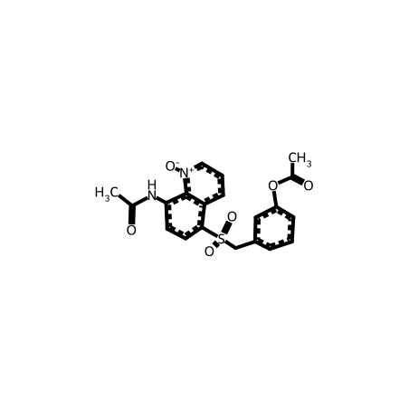 CC(=O)Nc1ccc(S(=O)(=O)Cc2cccc(OC(C)=O)c2)c2ccc[n+]([O-])c12